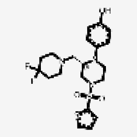 O=S(=O)(c1cccs1)N1CCN(c2ccc(O)cc2)[C@@H](CN2CCC(F)(F)CC2)C1